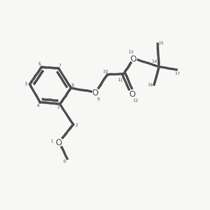 COCc1ccccc1OCC(=O)OC(C)(C)C